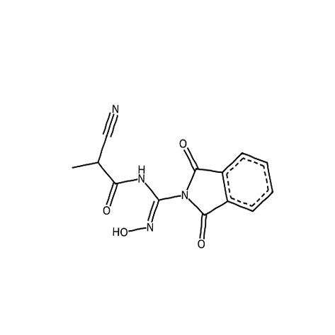 CC(C#N)C(=O)NC(=NO)N1C(=O)c2ccccc2C1=O